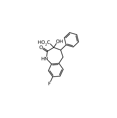 O=C(O)C1(O)C(=O)Nc2cc(F)ccc2CC1c1ccccc1